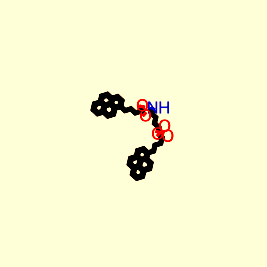 N=C(CCC(=O)OC(=O)CCCc1ccc2ccc3cccc4ccc1c2c34)OC(=O)CCCc1ccc2ccc3cccc4ccc1c2c34